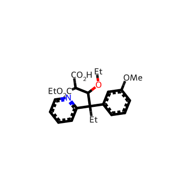 CCOC(=O)C(C(=O)O)C(OCC)C(CC)(c1cccc(OC)c1)c1ccccn1